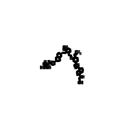 CCOc1ccc(-c2nc(-c3cccc4c3CCC4NCCO)no2)cc1OCCc1cccc(OC)c1CC[C@@H]1CCc2cc([C@H]3CC[C@](N)(COP(=O)(O)O)C3)ccc2C1